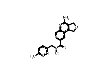 CCN(Cc1ccc(C(F)(F)F)nn1)C(=O)c1cc2c3c(c(N)nc2cn1)COC3